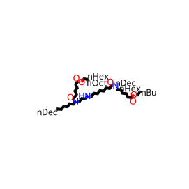 CCCCCCCCCCCCCCCCN(CCCNCCCCCCCC(=O)N(CCCCCCCCCC)CCCCCC(=O)OCC(CCCC)CCCCCC)C(=O)CCCCC(=O)OCC(CCCCCC)CCCCCCCC